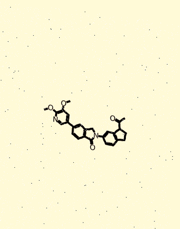 COc1cc(-c2ccc3c(c2)CN(c2ccc4c(c2)C(C(C)=O)CC4)C3=O)cnc1OC